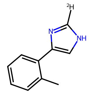 [2H]c1nc(-c2ccccc2C)c[nH]1